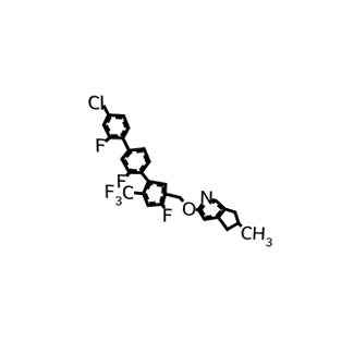 CC1Cc2cnc(OCc3cc(-c4ccc(-c5ccc(Cl)cc5F)cc4F)c(C(F)(F)F)cc3F)cc2C1